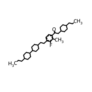 CCCC1CCC(CC(=O)c2ccc(CCC3CCC(C4CCC(CCC)CC4)CC3)c(F)c2C)CC1